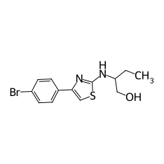 CCC(CO)Nc1nc(-c2ccc(Br)cc2)cs1